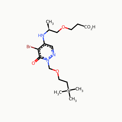 C[C@@H](COCCC(=O)O)Nc1cnn(COCC[Si](C)(C)C)c(=O)c1Br